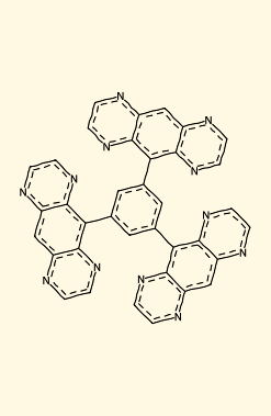 c1cnc2c(-c3cc(-c4c5nccnc5cc5nccnc45)cc(-c4c5nccnc5cc5nccnc45)c3)c3nccnc3cc2n1